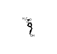 CC(=O)Oc1ccc(CC#CCO)cc1